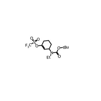 CCN(C(=O)OC(C)(C)C)C1C=C(OS(=O)(=O)C(F)(F)F)CCC1